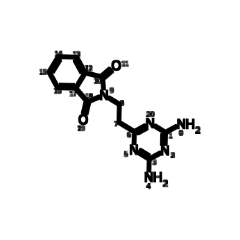 Nc1nc(N)nc(CCN2C(=O)c3ccccc3C2=O)n1